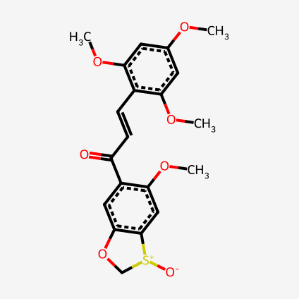 COc1cc(OC)c(/C=C/C(=O)c2cc3c(cc2OC)[S+]([O-])CO3)c(OC)c1